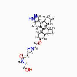 CN(CCO)C(=O)C=CCNCCOc1ccc(C(=C(c2ccccc2)C2CCC2)c2ccc3[nH]ncc3c2)cc1